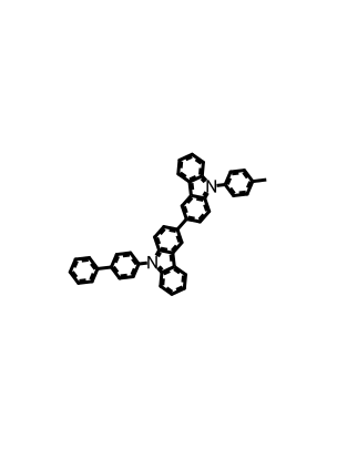 Cc1ccc(-n2c3ccccc3c3cc(-c4ccc5c(c4)c4ccccc4n5-c4ccc(-c5ccccc5)cc4)ccc32)cc1